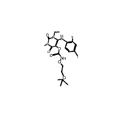 CCn1c(Nc2ccc(I)cc2F)c(OC(=O)NOCCOC(C)(C)C)c(=O)n(C)c1=O